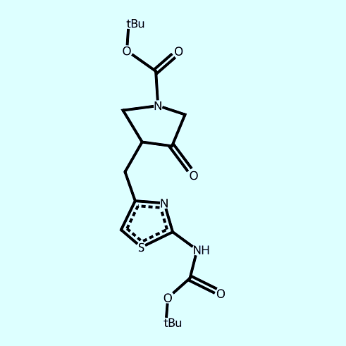 CC(C)(C)OC(=O)Nc1nc(CC2CN(C(=O)OC(C)(C)C)CC2=O)cs1